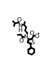 CCC(=O)N(CCCC(C)NC(=O)C(C)C)c1cc(C2=CCCCC2)sc1C(=O)OC